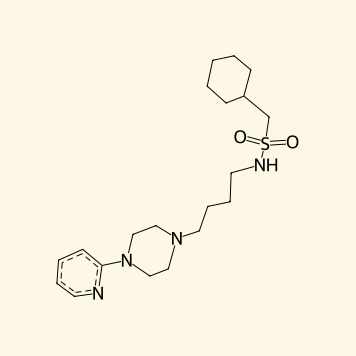 O=S(=O)(CC1CCCCC1)NCCCCN1CCN(c2ccccn2)CC1